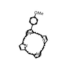 COc1ccc(-c2cc3cc4nc(cc5ccc(cc6nc(cc2[nH]3)C=C6)[nH]5)C=C4)cc1